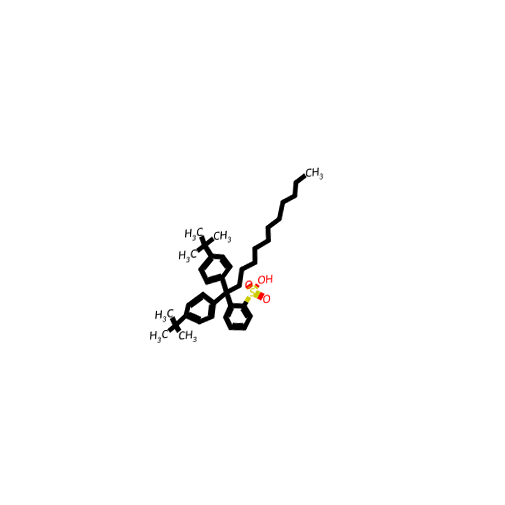 CCCCCCCCCCCC(c1ccc(C(C)(C)C)cc1)(c1ccc(C(C)(C)C)cc1)c1ccccc1S(=O)(=O)O